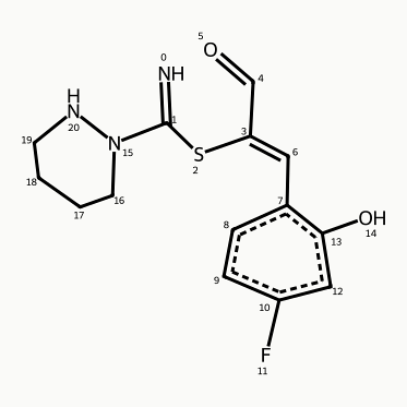 N=C(S/C(C=O)=C\c1ccc(F)cc1O)N1CCCCN1